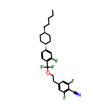 CCCCC[C@H]1CC[C@H](c2ccc(C(F)(F)OCCc3cc(F)c(C#N)c(F)c3)c(F)c2)CC1